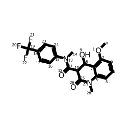 COc1cccc2c1C(O)C(C(=O)N(C)c1ccc(C(F)(F)F)cc1)C(=O)N2C